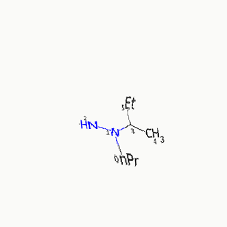 CCCN([NH])C(C)CC